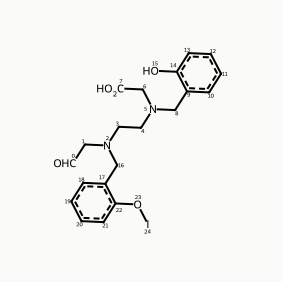 O=CCN(CCN(CC(=O)O)Cc1ccccc1O)Cc1ccccc1OI